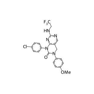 COc1ccc(N2Cc3cnc(NCC(F)(F)F)nc3N(c3ccc(Cl)cc3)C2=O)cc1